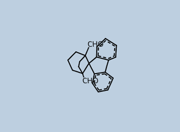 O=CC12CCCC(C=O)(CC1)C21c2ccccc2-c2ccccc21